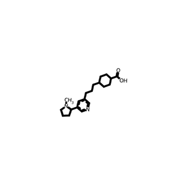 CN1CCCC1c1cncc(CCCC2CCC(C(=O)O)CC2)c1